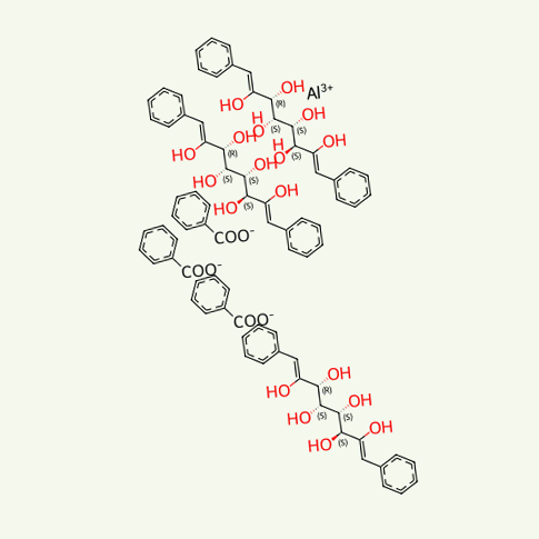 O=C([O-])c1ccccc1.O=C([O-])c1ccccc1.O=C([O-])c1ccccc1.OC(=Cc1ccccc1)[C@@H](O)[C@@H](O)[C@H](O)[C@@H](O)C(O)=Cc1ccccc1.OC(=Cc1ccccc1)[C@@H](O)[C@@H](O)[C@H](O)[C@@H](O)C(O)=Cc1ccccc1.OC(=Cc1ccccc1)[C@@H](O)[C@@H](O)[C@H](O)[C@@H](O)C(O)=Cc1ccccc1.[Al+3]